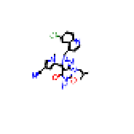 CC(C)Cn1c(=O)[nH]c(=O)c2c(-c3cc(C#N)cn3C)n(Cc3ccnc4ccc(Cl)cc34)nc21